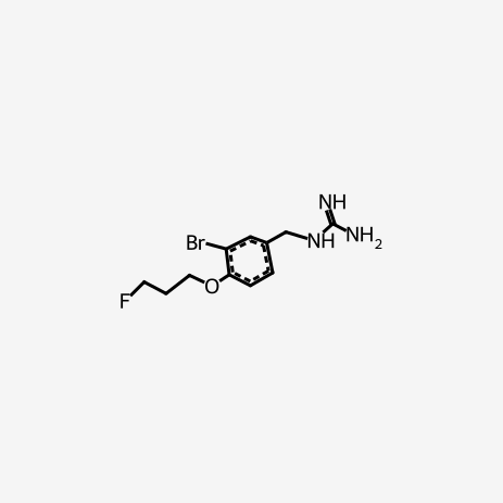 N=C(N)NCc1ccc(OCCCF)c(Br)c1